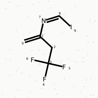 C=C(CC(F)(F)F)/N=C\I